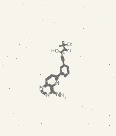 CCC(C)(C)C(=O)[C@H](O)C#Cc1cccc(-c2ccc3ncnc(N)c3n2)c1